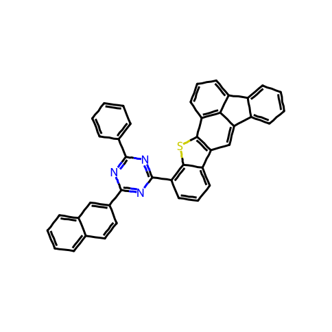 c1ccc(-c2nc(-c3ccc4ccccc4c3)nc(-c3cccc4c3sc3c5cccc6c5c(cc43)-c3ccccc3-6)n2)cc1